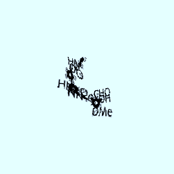 C#CCNC(=O)O[C@@H]1CC[C@H](c2cc(NC(=O)COc3cc(OC)cc(O)c3C=O)n[nH]2)C1